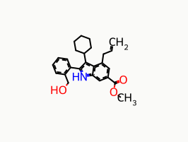 C=CCc1cc(C(=O)OC)cc2[nH]c(-c3ccccc3CO)c(C3CCCCC3)c12